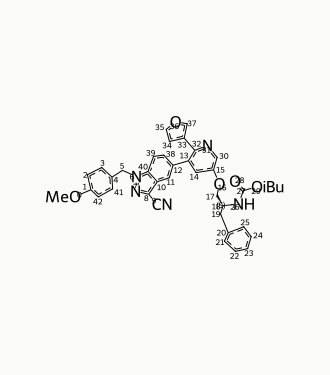 COc1ccc(Cn2nc(C#N)c3cc(-c4cc(OC[C@H](Cc5ccccc5)NC(=O)OCC(C)C)cnc4-c4ccoc4)ccc32)cc1